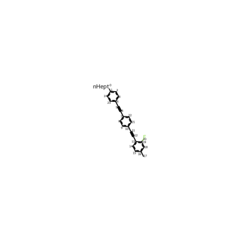 CCCCCCCc1ccc(C#Cc2ccc(C#Cc3ccc(C)cc3F)cc2)cc1